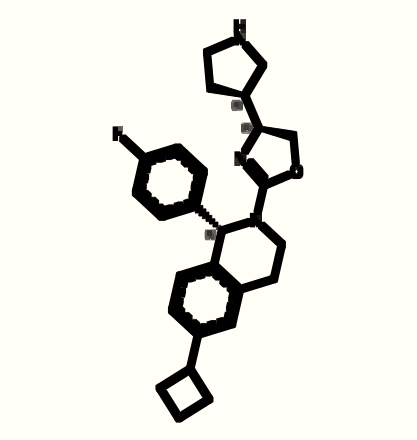 Fc1ccc([C@H]2c3ccc(C4CCC4)cc3CCN2C2=N[C@@H]([C@H]3CCNC3)CO2)cc1